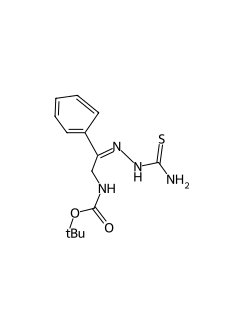 CC(C)(C)OC(=O)NCC(=NNC(N)=S)c1ccccc1